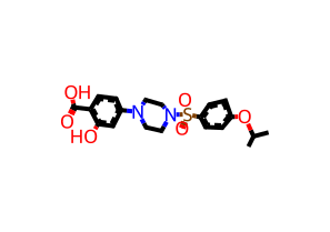 CC(C)Oc1ccc(S(=O)(=O)N2CCN(c3ccc(C(=O)O)c(O)c3)CC2)cc1